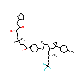 CC1CC=C(C2(C[C@H](CC(C)CC3CC=C(C(O)CCC(C)(C)CC[C@@H](O)[C@H](O)CC4CCCC4)CC3)C[C@H](C)CCC(F)(F)F)CC2)CC1